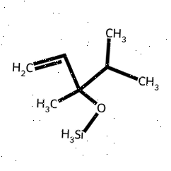 C=CC(C)(O[SiH3])C(C)C